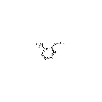 NSc1nnccc1N